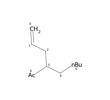 C=CCC(CCCCC)C(C)=O